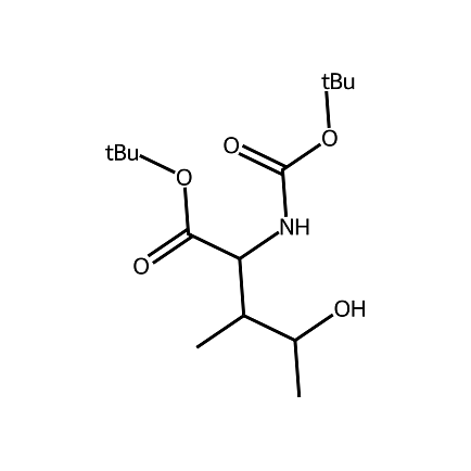 CC(O)C(C)C(NC(=O)OC(C)(C)C)C(=O)OC(C)(C)C